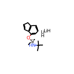 CC(C)(C)N[Si](C)(C)Oc1cccc2c1C=CC2.[LiH].[LiH]